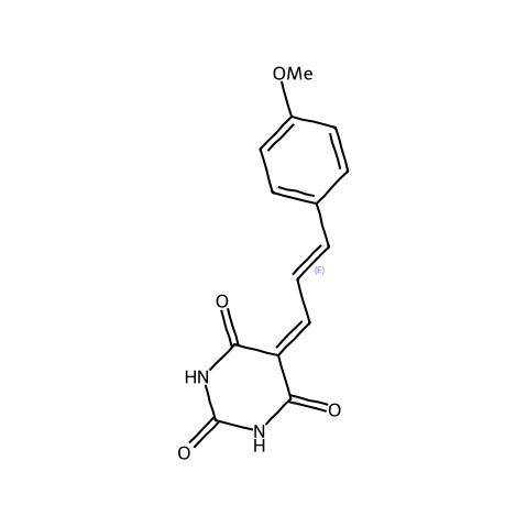 COc1ccc(/C=C/C=C2C(=O)NC(=O)NC2=O)cc1